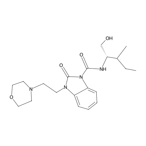 CCC(C)[C@@H](CO)NC(=O)n1c(=O)n(CCN2CCOCC2)c2ccccc21